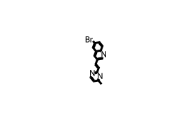 Cc1ccnc(/C=C/c2cnc3ccc(Br)cc3c2)n1